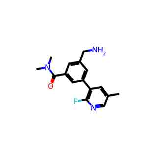 Cc1cnc(F)c(-c2cc(CN)cc(C(=O)N(C)C)c2)c1